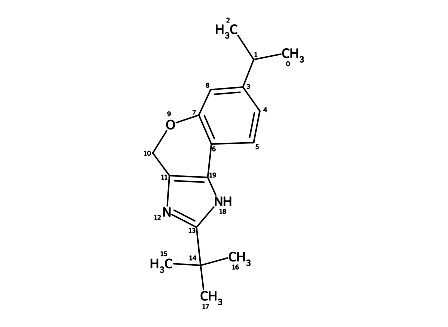 CC(C)c1ccc2c(c1)OCc1nc(C(C)(C)C)[nH]c1-2